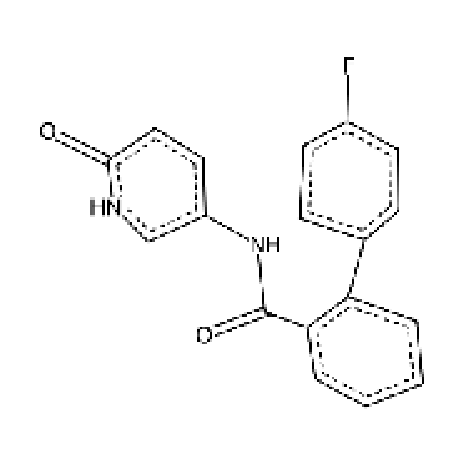 O=C(Nc1ccc(=O)[nH]c1)c1ccccc1-c1ccc(F)cc1